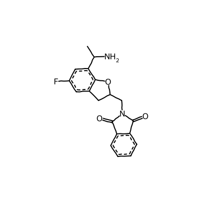 CC(N)c1cc(F)cc2c1OC(CN1C(=O)c3ccccc3C1=O)C2